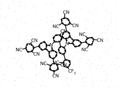 N#Cc1cc(C#N)c(-c2ccc3c(c2)c2cc(-c4c(C#N)cc(C#N)cc4C#N)ccc2n3-c2ccc(C#N)cc2-c2ccc(-c3ccc(C(F)(F)F)cc3C#N)cc2-n2c3ccc(-c4c(C#N)cc(C#N)cc4C#N)cc3c3cc(-c4c(C#N)cc(C#N)cc4C#N)ccc32)c(C#N)c1